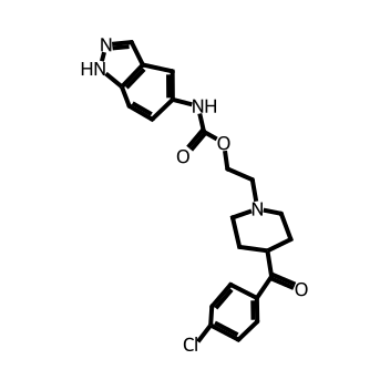 O=C(Nc1ccc2[nH]ncc2c1)OCCN1CCC(C(=O)c2ccc(Cl)cc2)CC1